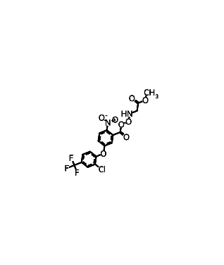 COC(=O)CNOOC(=O)c1cc(Oc2ccc(C(F)(F)F)cc2Cl)ccc1[N+](=O)[O-]